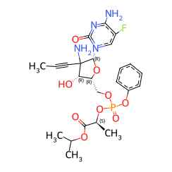 CC#CC1(N)[C@@H](O)[C@@H](COP(=O)(Oc2ccccc2)O[C@@H](C)C(=O)OC(C)C)O[C@H]1n1cc(F)c(N)nc1=O